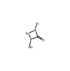 CCC[N]1[Sn][N](CC)C1=O